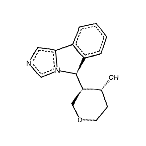 O[C@@H]1CCOC[C@H]1[C@@H]1c2ccccc2-c2cncn21